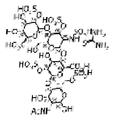 CC(=O)N[C@@H]1[C@@H](O)[C@H](O[C@@H]2O[C@H](C(=O)O)[C@@H](O[C@@H]3O[C@H](CO)[C@@H](O[C@H]4O[C@@H](C(=O)O)[C@H](O)[C@@H](O)[C@@H]4OS(=O)(=O)O)[C@H](OS(=O)(=O)O)[C@H]3NS(=O)(=O)O)[C@H](O)[C@H]2OS(=O)(=O)O)[C@H](COS(=O)(=O)O)O[C@H]1O.NC(N)=S